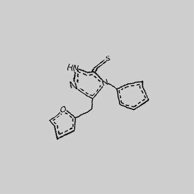 S=c1[nH]nc(Cc2ccco2)n1-c1ccccc1